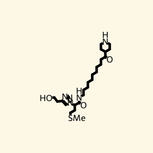 CSCCC(C(=O)NCCCCCCCCCCC(=O)C1CCNCC1)n1cc(CCO)nn1